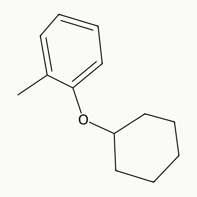 Cc1ccccc1OC1CCCCC1